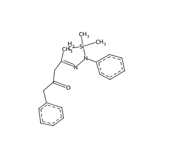 CC(CC(=O)Cc1ccccc1)=NN(c1ccccc1)[Si](C)(C)C